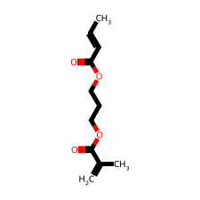 C=C(C)C(=O)OCCCOC(=O)C=CC